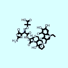 CCn1cc(C[N+]2(CC3=C(C(=O)O)N4C(=O)[C@@H](NC(=O)/C(=N\OC(C)(C)C(=O)O)c5nc(N)sc5Cl)[C@H]4SC3)CCCC2)c(=O)c2c(Cl)c(O)c(O)cc21